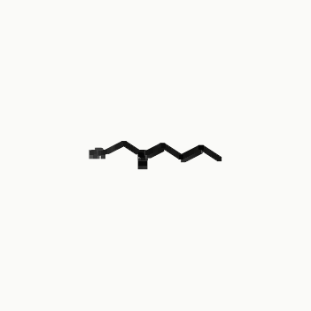 CC=CC=[SiH]CCCC